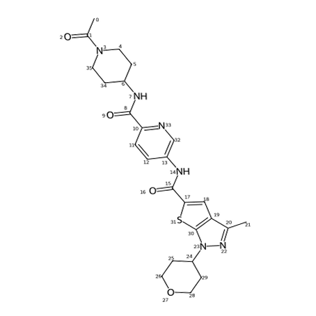 CC(=O)N1CCC(NC(=O)c2ccc(NC(=O)c3cc4c(C)nn(C5CCOCC5)c4s3)cn2)CC1